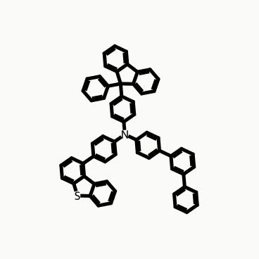 c1ccc(-c2cccc(-c3ccc(N(c4ccc(-c5cccc6sc7ccccc7c56)cc4)c4ccc(C5(c6ccccc6)c6ccccc6-c6ccccc65)cc4)cc3)c2)cc1